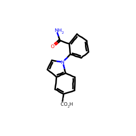 NC(=O)c1ccccc1-n1ccc2cc(C(=O)O)ccc21